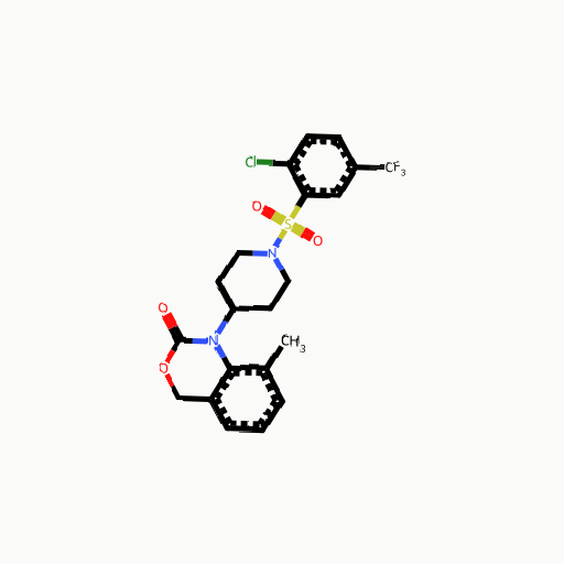 Cc1cccc2c1N(C1CCN(S(=O)(=O)c3cc(C(F)(F)F)ccc3Cl)CC1)C(=O)OC2